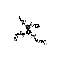 CCCCNC(=O)COc1cc(C(=O)OCc2ccccc2)cc(-c2cc(OCC(=O)NCCC(C)OCN)cc(OCC(=O)NCCC(C)(C)OCC(C)(C)C(=O)O)c2)c1